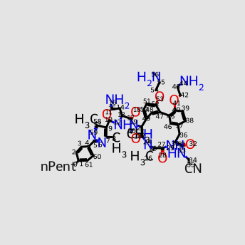 CCCCCc1ccc(-c2nc(C)c(C(=O)NC(CCN)C(=O)N(C)C3C(=O)NC(C)C(=O)NC(C(=O)NCC#N)Cc4ccc(OCCN)c(c4)-c4cc3ccc4OCCN)c(C)n2)cc1